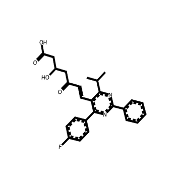 CC(C)c1nc(-c2ccccc2)nc(-c2ccc(F)cc2)c1/C=C/C(=O)CC(O)CC(=O)O